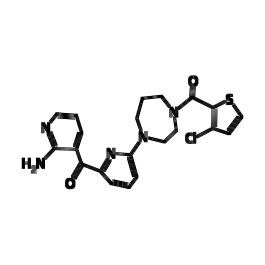 Nc1ncccc1C(=O)c1cccc(N2CCCN(C(=O)c3sccc3Cl)CC2)n1